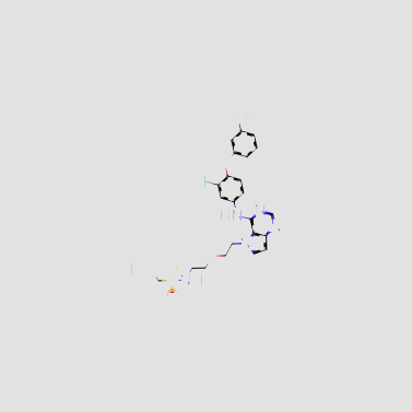 O=S(=O)(CC(F)(F)F)NCCOCCn1ccc2ncnc(Nc3ccc(Oc4cccc(C(F)(F)F)c4)c(Cl)c3)c21